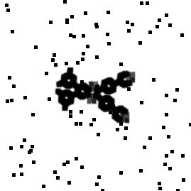 Cc1cc(C)cc(-c2cc3nc(-c4ccc(-c5ccncc5)cc4)c(-c4ccc(-c5ccncc5)cc4)nc3cc2-c2cc(C)cc(C)c2)c1